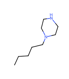 CCCCCN1CCNCC1